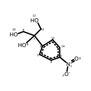 O=[N+]([O-])c1ccc(C(O)(CO)CO)cc1